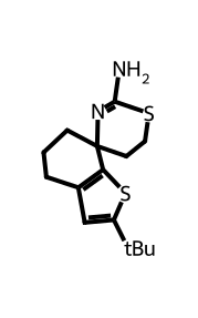 CC(C)(C)c1cc2c(s1)C1(CCC2)CCSC(N)=N1